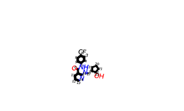 O=C(Nc1ccc(C(F)(F)F)cc1)c1cccnc1NC[C@@H]1CCC[C@@H]1O